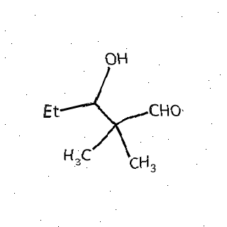 CCC(O)C(C)(C)[C]=O